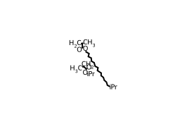 C=C(C)C(=O)OC(C)C.C=C(C)C(=O)OCCCCCCCCCCCCCCCC(C)C